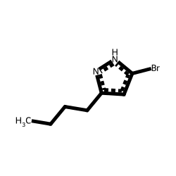 CCCCc1cc(Br)[nH]n1